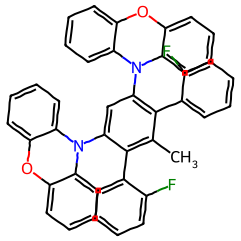 Cc1c(-c2ccccc2F)c(N2c3ccccc3Oc3ccccc32)cc(N2c3ccccc3Oc3ccccc32)c1-c1ccccc1F